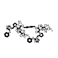 CN[C@@H](C)C(=O)N[C@H](C(=O)N1CCCC1Cn1nnnc1Sc1ccccc1)[C@@H](C)OCC#CC#CCO[C@H](C)[C@H](NC(=O)[C@H](C)NC)C(=O)N1CCCC1Cn1nnnc1Sc1ccccc1